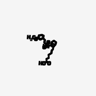 COc1cccc(C=CS(=O)(=O)NC2C3CCC(O3)C2CC=CCCCC(=O)O)c1